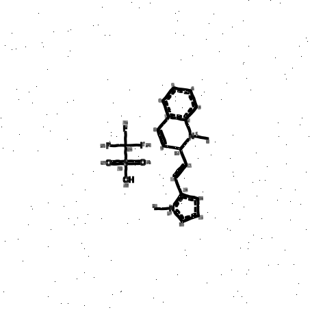 CN1c2ccccc2C=CC1C=Cc1cccn1C.O=S(=O)(O)C(F)(F)F